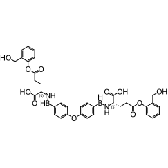 O=C(CC[C@H](NBc1ccc(Oc2ccc(BN[C@@H](CCC(=O)Oc3ccccc3CO)C(=O)O)cc2)cc1)C(=O)O)Oc1ccccc1CO